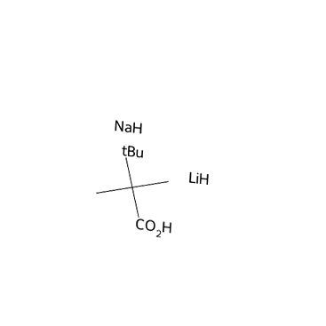 CC(C)(C)C(C)(C)C(=O)O.[LiH].[NaH]